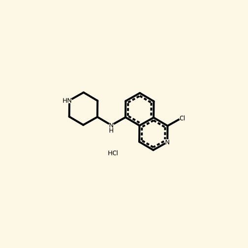 Cl.Clc1nccc2c(NC3CCNCC3)cccc12